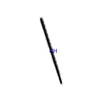 CCCCCCCCCCCCCCCCCCCCCCCCCCCCCCCCCCCCNCCCCCCCCCCCCCCCCCCCCCCCCCCCCCCCCCCCC